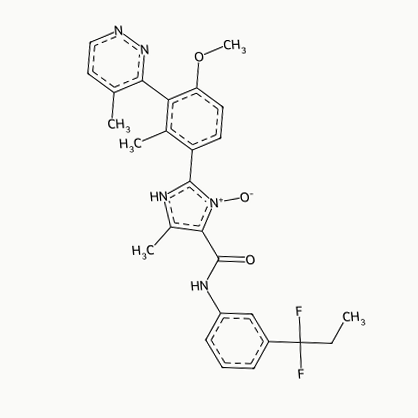 CCC(F)(F)c1cccc(NC(=O)c2c(C)[nH]c(-c3ccc(OC)c(-c4nnccc4C)c3C)[n+]2[O-])c1